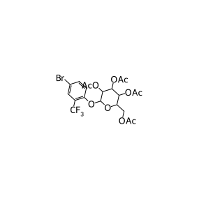 CC(=O)OCC1OC(Oc2ccc(Br)cc2C(F)(F)F)C(OC(C)=O)C(OC(C)=O)C1OC(C)=O